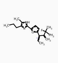 C=C(/C(=C\C)c1ccc(-c2nc(CCC)c(C)[nH]2)o1)C(C)(F)P